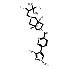 Cc1nn(C)cc1-c1ccc(N[C@@H]2C[C@@H]3CN(CC(C)C(C)(C)C)C[C@@H]3C2)nn1